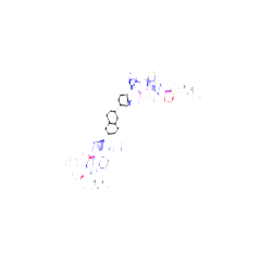 COC(=O)N[C@H](C(=O)N1CCC[C@H]1c1ncc(-c2ccc3cc(-c4ccc(-c5cnc([C@@H]6SCCN6C(=O)[C@@H](C)NC(=O)OC)[nH]5)cc4)ccc3c2)[nH]1)C(C)C